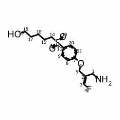 NC/C(=C\F)COc1ccc(S(=O)(=O)CCCCCO)cc1